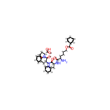 N[C@@H](CCCCOC(=O)c1ccccc1)C(=O)N[C@@H](Cc1ccccc1)C(=O)N[C@@H](Cc1ccccc1)C(=O)N1CCC[C@@H]1C(=O)O